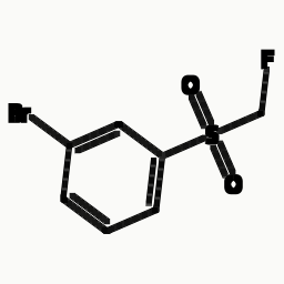 O=S(=O)(CF)c1cccc(Br)c1